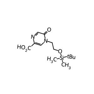 CC(C)(C)[Si](C)(C)OCCn1cc(C(=O)O)ncc1=O